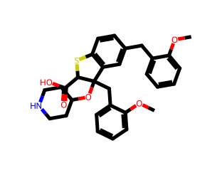 COc1ccccc1Cc1ccc2c(c1)C(Cc1ccccc1OC)(OC1CCNCC1)C(C(=O)O)S2